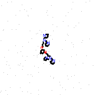 CC1C=C(OCCCCN(Cc2ccccn2)Cc2ccccn2)C=C(OCCCCN(Cc2ccccn2)Cc2ccccn2)C1